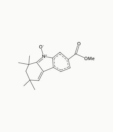 COC(=O)c1ccc2c(c1)[N+]([O-])=C1C2=CC(C)(C)CC1(C)C